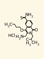 CCCCOc1c(CN)n(CC(C)C)c(=O)c2ccc(C(N)=S)cc12.Cl